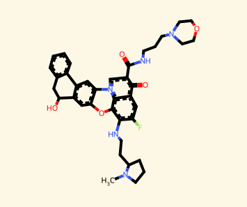 CN1CCCC1CCNc1c(F)cc2c(=O)c(C(=O)NCCCN3CCOCC3)cn3c2c1Oc1cc2c(cc1-3)-c1ccccc1CC2O